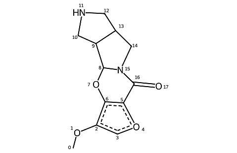 COc1coc2c1OC1C3CNCC3CN1C2=O